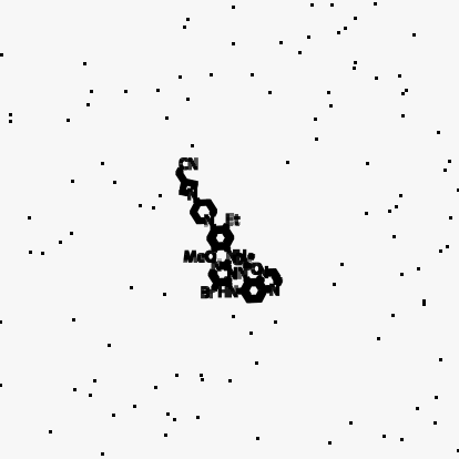 CCc1cc(Nc2ncc(Br)c(Nc3ccc4nccnc4c3NS(C)(=O)=O)n2)c(OC)cc1N1CCC(N2CC(CC#N)C2)CC1